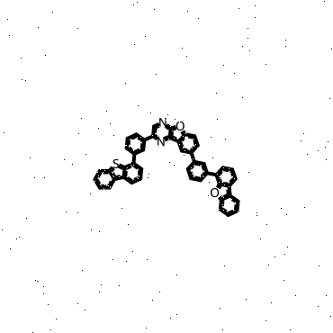 c1cc(-c2ccc3oc4ncc(-c5cccc(-c6cccc7c6sc6ccccc67)c5)nc4c3c2)cc(-c2cccc3c2oc2ccccc23)c1